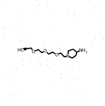 C#CCOCCOCCOCCN1CCC(N)CC1